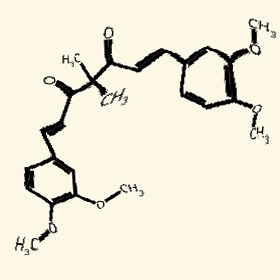 COc1ccc(/C=C/C(=O)C(C)(C)C(=O)/C=C/c2ccc(OC)c(OC)c2)cc1OC